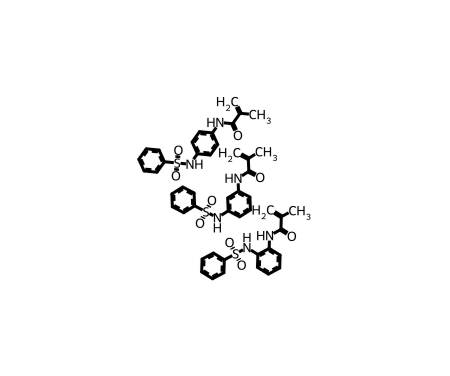 C=C(C)C(=O)Nc1ccc(NS(=O)(=O)c2ccccc2)cc1.C=C(C)C(=O)Nc1cccc(NS(=O)(=O)c2ccccc2)c1.C=C(C)C(=O)Nc1ccccc1NS(=O)(=O)c1ccccc1